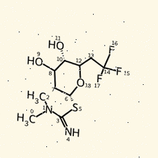 CN(C)C(=N)S[C@@H]1CC(O)[C@H](O)C(CC(F)(F)F)O1